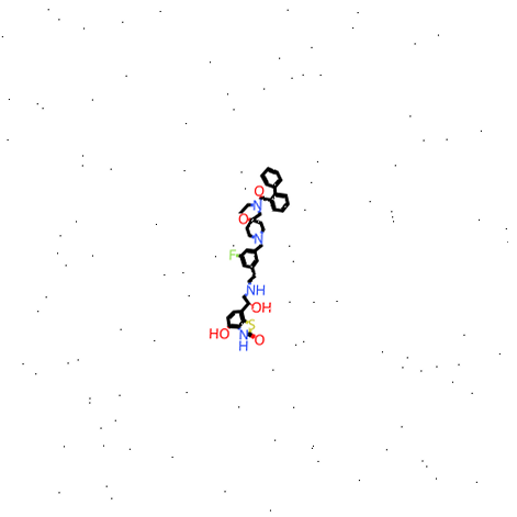 O=C(c1ccccc1-c1ccccc1)N1CCOC2(CCN(Cc3cc(F)cc(CCNC[C@H](O)c4ccc(O)c5[nH]c(=O)sc45)c3)CC2)C1